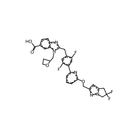 O=C(O)c1ccc2nc(Cc3cc(F)c(-c4cccc(OCc5cc6n(n5)CC(F)(F)C6)n4)cc3F)n(CC3CCO3)c2c1